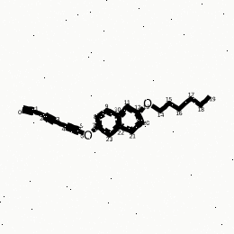 C#CC#CC#COc1ccc2cc(OCCCCCC)ccc2c1